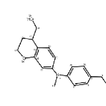 CCc1ccc(N(C)c2ccc3c(c2)OCCC3CO)cc1